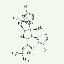 CC(C)(C)C[C@@H]1N[C@@H](C(=O)OC(C)(C)C)[C@H](c2cccc(Br)c2F)[C@@]1(C#N)c1ccc(Cl)cc1F